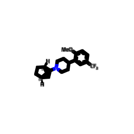 COc1ccc(C(F)(F)F)cc1C1CCN(C2C[C@H]3CC[C@H]2C3)CC1